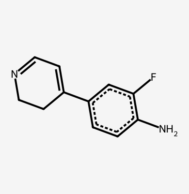 Nc1ccc(C2=CC=NCC2)cc1F